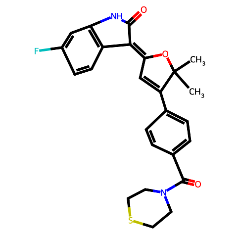 CC1(C)OC(=C2C(=O)Nc3cc(F)ccc32)C=C1c1ccc(C(=O)N2CCSCC2)cc1